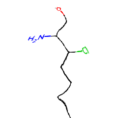 CCCCC(Cl)C(N)C[O]